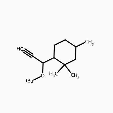 C#CC(OC(C)(C)C)C1CCC(C)CC1(C)C